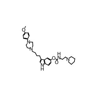 COc1ccc(N2CCN(CCCCc3c[nH]c4ccc(OC(=O)NCCN5CCCCC5)cc34)CC2)cc1